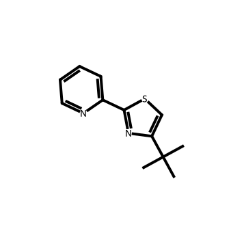 CC(C)(C)c1csc(-c2ccccn2)n1